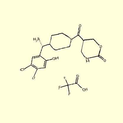 N[C@@H](c1cc(Cl)c(Cl)cc1O)C1CCN(C(=O)C2CNC(=O)OC2)CC1.O=C(O)C(F)(F)F